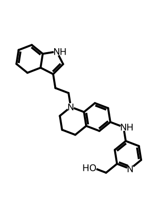 OCc1cc(Nc2ccc3c(c2)CCCN3CCC2=CNC3=CC=CCC23)ccn1